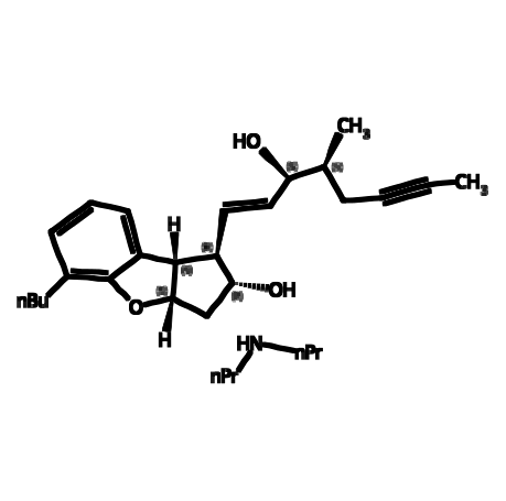 CC#CC[C@H](C)[C@H](O)C=C[C@@H]1[C@H]2c3cccc(CCCC)c3O[C@H]2C[C@H]1O.CCCNCCC